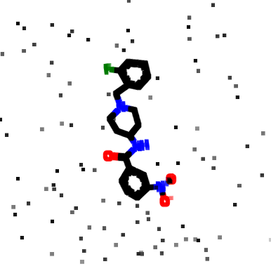 O=C(NC1CCN(Cc2ccccc2F)CC1)c1cccc([N+](=O)[O-])c1